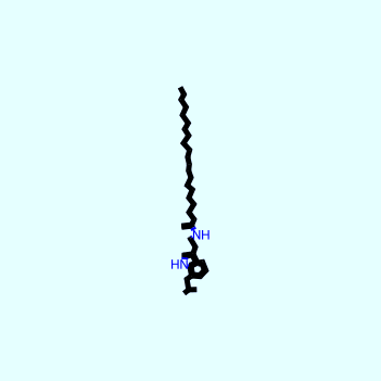 C=C(CCCCCCCCCCCCCCCCCCCC)NCCc1c[nH]c2c(CC(C)C)cccc12